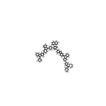 C1=CC2c3cc(-c4ccc5c(c4)c4ccccc4n5-c4ccc5c(c4)sc4cc(-c6nc(-c7ccc(-n8c9ccccc9c9cc(-c%10ccc%11c(c%10)c%10ccccc%10n%11-c%10ccccc%10)ccc98)cc7)c7c(n6)-c6cccc8cccc-7c68)ccc45)ccc3N(c3ccccc3)C2C=C1